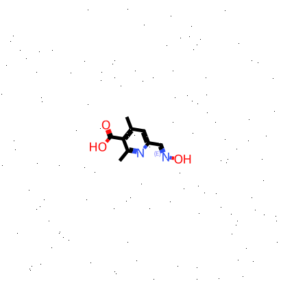 Cc1cc(/C=N/O)nc(C)c1C(=O)O